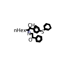 C=C(/C(CCCCCC)=N\CC(=O)c1ccccc1)c1ccc(SC2=CCCC=C2)cc1